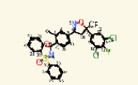 Cc1cc(C2=NOC(c3cc(Cl)c(F)c(Cl)c3)(C(F)(F)F)C2)ccc1C(=O)N=S(=O)(c1ccccc1)c1ccccc1